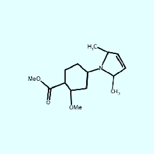 COC(=O)C1CCC(N2C(C)C=CC2C)CC1OC